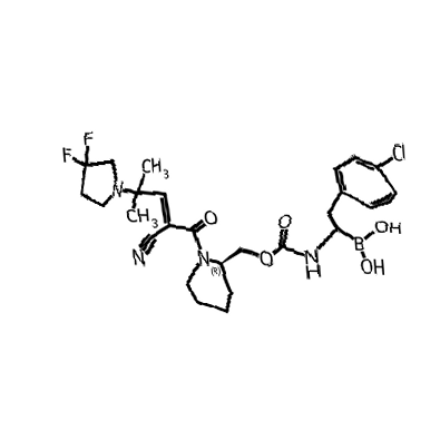 CC(C)(C=C(C#N)C(=O)N1CCCC[C@@H]1COC(=O)NC(Cc1ccc(Cl)cc1)B(O)O)N1CCC(F)(F)C1